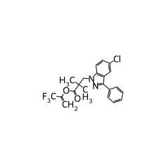 C=C(OC(=O)C(C)(C)Cn1nc(-c2ccccc2)c2cc(Cl)ccc21)C(F)(F)F